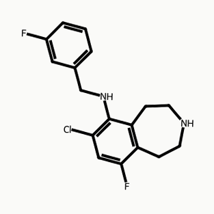 Fc1cccc(CNc2c(Cl)cc(F)c3c2CCNCC3)c1